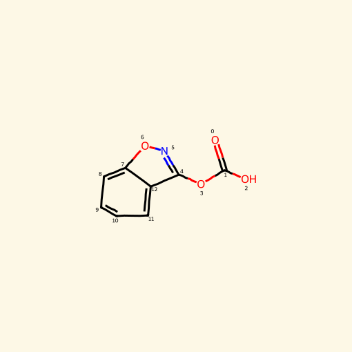 O=C(O)Oc1noc2ccccc12